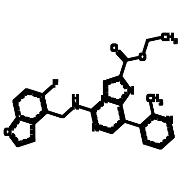 CCOC(=O)c1cn2c(NCc3c(F)ccc4occc34)ncc(-c3cccnc3C)c2n1